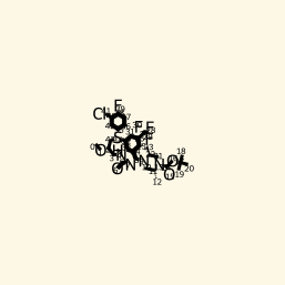 CO[C@H]1Cn2c(=O)nc(N3C[C@@H](C)N(C(=O)OC(C)(C)C)C[C@@H]3C)c3cc(C(F)(F)F)cc(c32)[SH](c2ccc(F)c(Cl)c2)C1